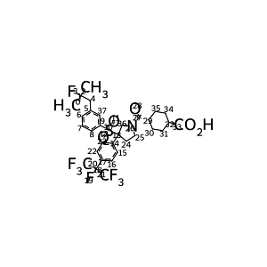 CC(C)(F)Cc1cccc(S(=O)(=O)C2(c3ccc(C(F)(C(F)(F)F)C(F)(F)F)cc3)CCN(C(=O)[C@H]3CC[C@H](C(=O)O)CC3)C2)c1